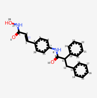 O=C(/C=C/c1ccc(NC(=O)C(Cc2ccccc2)c2ccccc2)cc1)NO